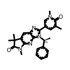 Cc1cc(-c2nc3cc4c(nc3n2[C@@H](C)c2ccccc2)N(C)C(=O)C4(C)C)cn(C)c1=O